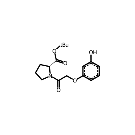 CC(C)(C)OC(=O)[C@H]1CCCN1C(=O)COc1cccc(O)c1